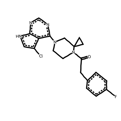 O=C(Cc1ccc(F)cc1)N1CCN(c2ncnc3[nH]cc(Cl)c23)CC12CC2